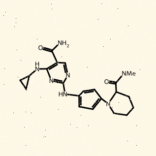 CNC(=O)C1CCCCN1c1ccc(Nc2ncc(C(N)=O)c(NC3CC3)n2)cc1